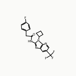 O=C(Cc1ccc(F)cc1)Nc1nc2cc(C(F)(F)F)cnc2n1C1CCC1